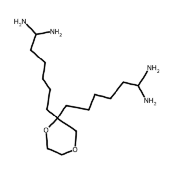 NC(N)CCCCCC1(CCCCCC(N)N)COCCO1